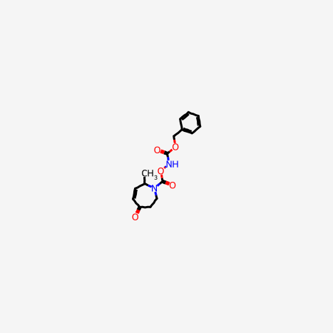 CC1C=CC(=O)CCN1C(=O)ONC(=O)OCc1ccccc1